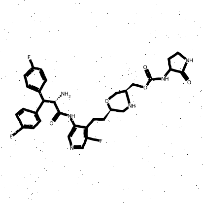 N[C@H](C(=O)Nc1cncc(F)c1CC[C@@H]1CN[C@H](COC(=O)NC2CCNC2=O)CO1)C(c1ccc(F)cc1)c1ccc(F)cc1